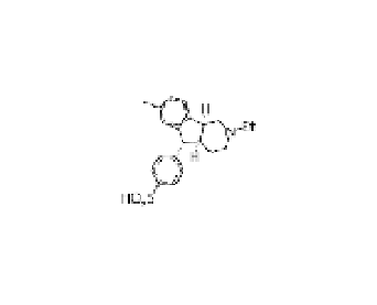 CCN1CC[C@H]2[C@H](c3ccc(S(=O)(=O)O)cc3)c3cc(C)ccc3[C@H]2C1